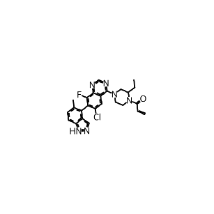 C=CC(=O)N1CCN(c2ncnc3c(F)c(-c4c(C)ccc5[nH]ncc45)c(Cl)cc23)CC1CC